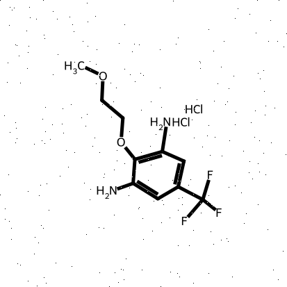 COCCOc1c(N)cc(C(F)(F)F)cc1N.Cl.Cl